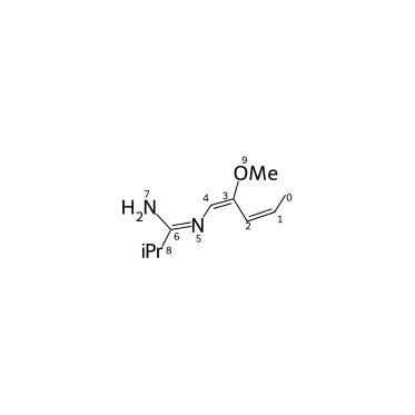 C\C=C/C(=C\N=C(/N)C(C)C)OC